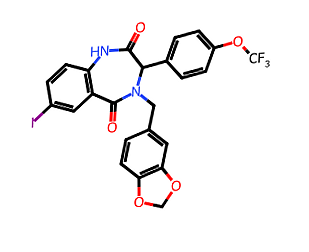 O=C1Nc2ccc(I)cc2C(=O)N(Cc2ccc3c(c2)OCO3)C1c1ccc(OC(F)(F)F)cc1